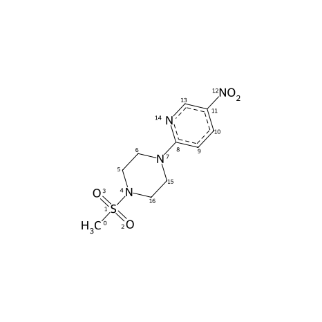 CS(=O)(=O)N1CCN(c2ccc([N+](=O)[O-])cn2)CC1